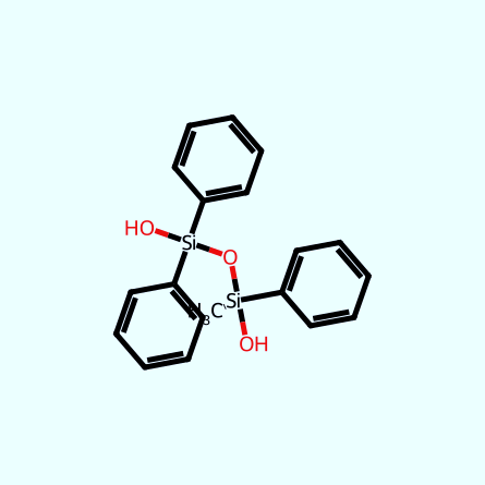 C[Si](O)(O[Si](O)(c1ccccc1)c1ccccc1)c1ccccc1